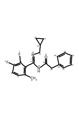 Cc1ccc(F)c(F)c1/C(=N/CC1CC1)NC(=O)Cc1ccccc1